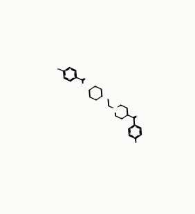 O=C(N[C@H]1CC[C@H](CCN2CCC(C(=O)c3ccc(F)cc3)CC2)CC1)c1ccc(Cl)cc1